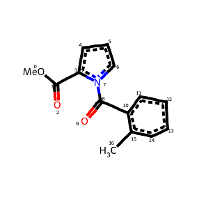 COC(=O)c1cccn1C(=O)c1ccccc1C